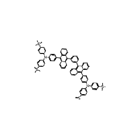 CSc1ccc(N(c2ccc(-c3c4ccccc4c(-c4cccc(-c5c6ccccc6c(-c6ccc(N(c7ccc(S(C)(C)C)cc7)c7ccc(S(C)(C)C)cc7)cc6)c6ccccc56)c4)c4ccccc34)cc2)c2ccc(S(C)(C)C)cc2)cc1